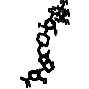 [2H]C([2H])([2H])N(C(=O)c1cc(F)c(C2CCN(Cc3cc4c(-n5ccc(NC)cc5=O)ccnc4n3C)CC2)c(F)c1)C([2H])([2H])[2H]